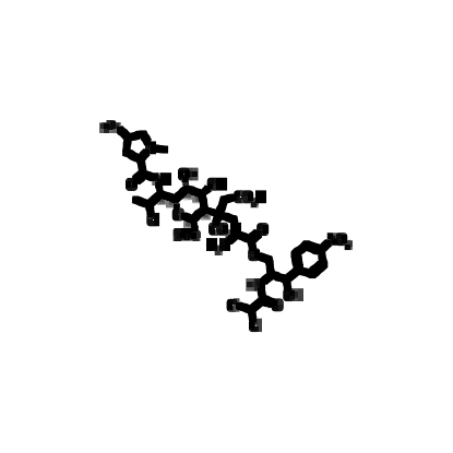 CCCC1CC(C(=O)N[C@H](C(C)Cl)[C@H]2O[C@H](SC)[C@H](C(CC(=O)O)(CC(N)C(=O)OCC(NC(=O)C(Cl)Cl)C(O)c3ccc([N+](=O)[O-])cc3)C(=O)O)[C@H](O)[C@H]2O)N(C)C1